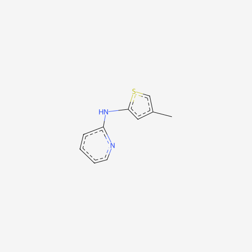 Cc1csc(Nc2ccccn2)c1